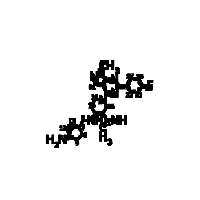 CC(=N)C1=C(NCC23CCC(N)(CC2)C3)CCN(c2nc(-c3ccc(F)cc3)nc3c2cnn3C)C1